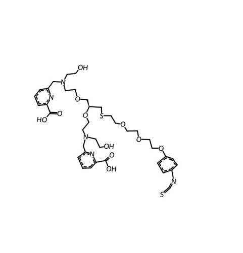 O=C(O)c1cccc(CN(CCO)CCOC[C@@H](CSCCOCCOCCOc2ccc(N=C=S)cc2)OCCN(CCO)Cc2cccc(C(=O)O)n2)n1